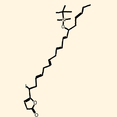 CCC=CCC(C=CC=CCC=CCC=CCC(I)C1=CCC(=O)O1)O[Si](C)(C)C(C)(C)C